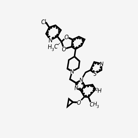 [2H]c1cc2c(nc(CN3CCC(c4cccc5c4O[C@@](C)(c4ccc(Cl)cn4)O5)CC3)n2Cc2cncs2)c(OC2CC2)c1C